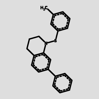 Cc1cccc(SN2CCCc3ccc(-c4ccccc4)cc32)c1